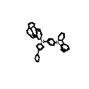 C1=CC2c3ccccc3N(c3ccc(N(c4ccc(-c5ccccc5)cc4)c4ccc5c(c4)-c4cccc6cccc-5c46)cc3)C2C=C1